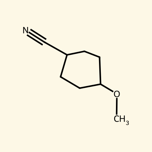 COC1CCC(C#N)CC1